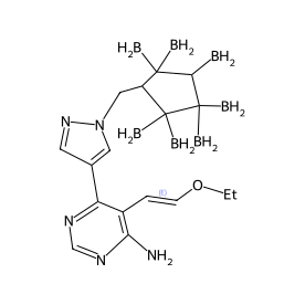 BC1C(B)(B)C(Cn2cc(-c3ncnc(N)c3/C=C/OCC)cn2)C(B)(B)C1(B)B